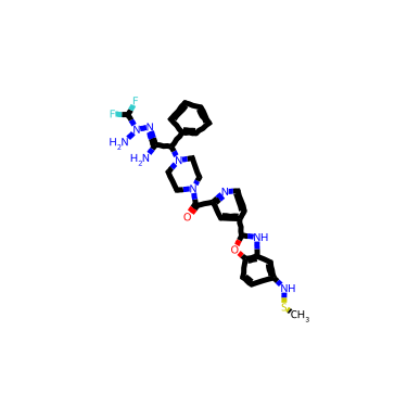 CSNc1ccc2c(c1)NC(c1ccnc(C(=O)N3CCN(C(/C(N)=N/N(N)C(F)F)c4ccccc4)CC3)c1)O2